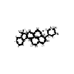 CC1(C)c2ccccc2-c2c1cc1ccc3c(-c4cccnc4)ccc4ccc2c1c43